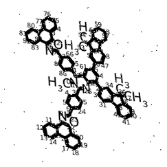 CN1C(c2ccc(-c3nc4c5ccccc5c5ccccc5c4o3)cc2)=Nc2c(-c3ccc4c(c3)C(C)(C)c3ccccc3-4)cc(-c3ccc4c(c3)C(C)(C)C3=C4CCC=C3)cc2C1c1ccc(-c2nc3c(o2)-c2ccccc2C2C=CC=CC32)cc1